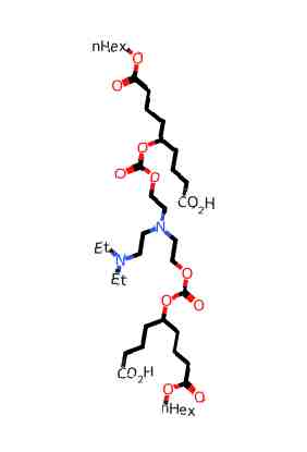 CCCCCCOC(=O)CCCC(CCCC(=O)O)OC(=O)OCCN(CCOC(=O)OC(CCCC(=O)O)CCCC(=O)OCCCCCC)CCN(CC)CC